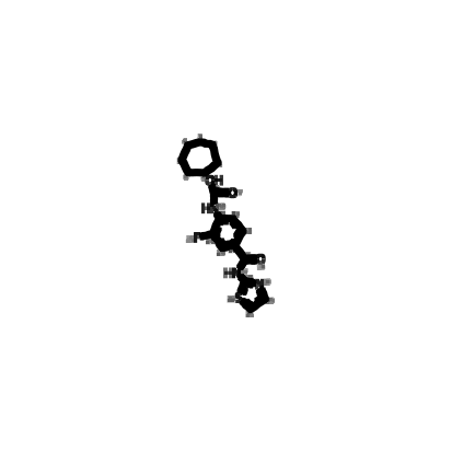 C1CCCCCC1.O=C(O)Nc1ccc(C(=O)Nc2nccs2)cc1F